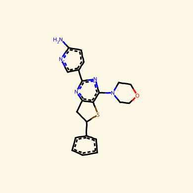 Nc1ccc(-c2nc3c(c(N4CCOCC4)n2)SC(c2ccccc2)C3)cn1